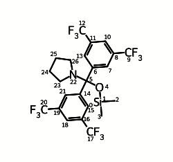 C[Si](C)(C)OC(c1cc(C(F)(F)F)cc(C(F)(F)F)c1)(c1cc(C(F)(F)F)cc(C(F)(F)F)c1)N1CCCC1